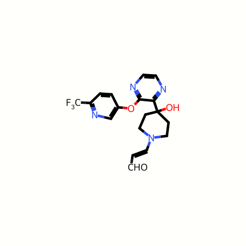 O=CC=CN1CCC(O)(c2nccnc2Oc2ccc(C(F)(F)F)nc2)CC1